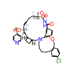 C[C@@H]1[C@@H](C)C/C=C/[C@@H](O)[C@@H](c2cnccc2F)[C@@H]2CC[C@H]2CN2CCCCc3cc(Cl)ccc3COc3ccc(cc32)C(=O)NS1(=O)=O